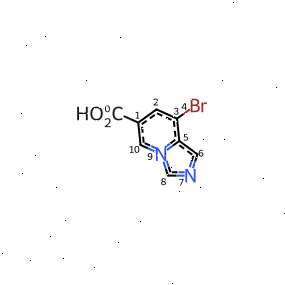 O=C(O)c1cc(Br)c2cncn2c1